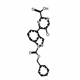 O=C(O)c1ncc(Cl)c(-c2cccc3c2cnn3C(=O)OCc2ccccc2)n1